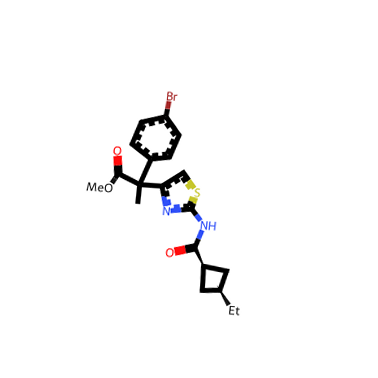 CC[C@H]1C[C@@H](C(=O)Nc2nc(C(C)(C(=O)OC)c3ccc(Br)cc3)cs2)C1